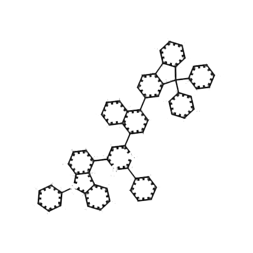 c1ccc(-c2nc(-c3ccc(-c4ccc5c(c4)C(c4ccccc4)(c4ccccc4)c4ccccc4-5)c4ccccc34)cc(-c3cccc4c3c3ccccc3n4-c3ccccc3)n2)cc1